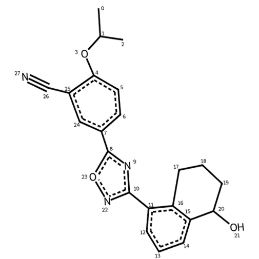 CC(C)Oc1ccc(-c2nc(-c3cccc4c3CCCC4O)no2)cc1C#N